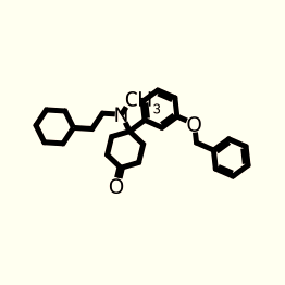 CN(CCC1CCCCC1)C1(c2cccc(OCc3ccccc3)c2)CCC(=O)CC1